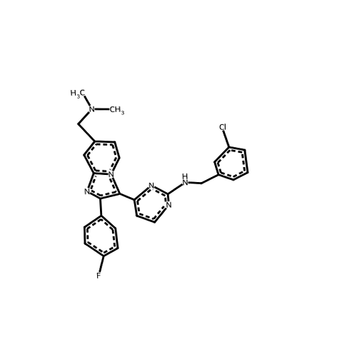 CN(C)Cc1ccn2c(-c3ccnc(NCc4cccc(Cl)c4)n3)c(-c3ccc(F)cc3)nc2c1